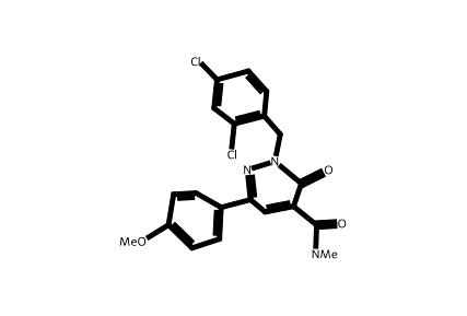 CNC(=O)c1cc(-c2ccc(OC)cc2)nn(Cc2ccc(Cl)cc2Cl)c1=O